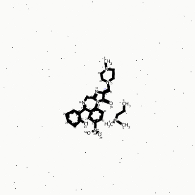 CCCN(C)C.CN1CCN(/C=C2\N=C3CN=C(c4ccccc4Cl)c4cc([N+](=O)[O-])ccc4N3C2=O)CC1